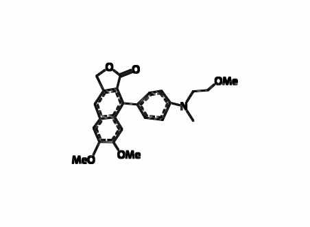 COCCN(C)c1ccc(-c2c3c(cc4cc(OC)c(OC)cc24)COC3=O)cc1